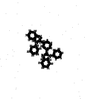 c1ccc(-n2c(-c3cncc(-c4nc5ccccc5n4-c4ccccc4)c3)nc3ccccc32)cc1